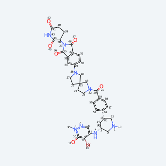 CN1C[C@H](Nc2cnn(C)c(=O)c2Br)C[C@H](c2ccc(C(=O)N3CCC4(CCN(c5ccc6c(c5)C(=O)N(C5CCC(=O)NC5=O)C6=O)C4)C3)cc2)C1